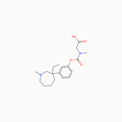 CCC1(c2cccc(OC(=O)N(C)CC(=O)O)c2)CCCCN(C)C1